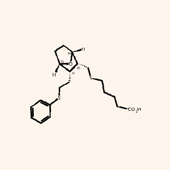 O=C(O)CCCCSC[C@@H]1[C@H](CCSc2ccccc2)[C@@H]2CC[C@H]1O2